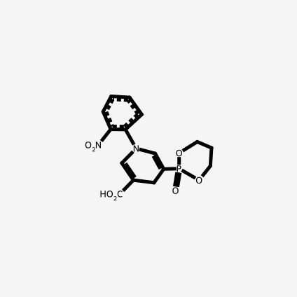 O=C(O)C1=CN(c2ccccc2[N+](=O)[O-])C=C(P2(=O)OCCCO2)C1